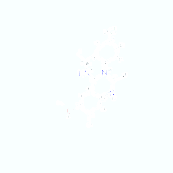 COc1cc2c(N[C@H](C)c3cccc(Cl)c3)nc(C)nc2cc1C